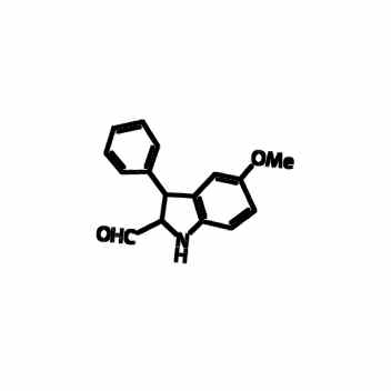 COc1ccc2c(c1)C(c1ccccc1)C(C=O)N2